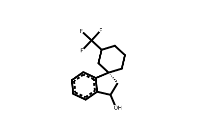 OC1C[C@]2(CCCC(C(F)(F)F)C2)c2ccccc21